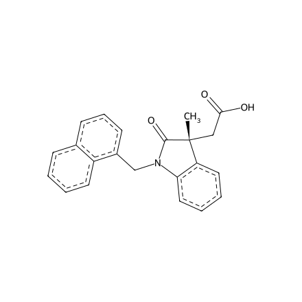 C[C@]1(CC(=O)O)C(=O)N(Cc2cccc3ccccc23)c2ccccc21